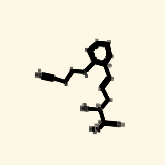 C#CCCSc1ccccc1C=CCN(O)C(N)=O